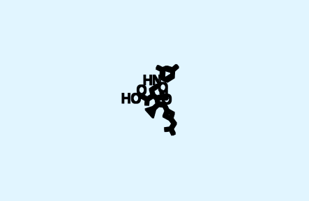 Cc1ccc(NC(=O)CC(c2noc(C3CC(CC(C)C)C3)c2C2CC2)C(C)C(=O)O)c(C)c1